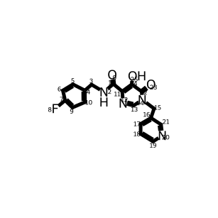 O=C(NCc1ccc(F)cc1)c1ncn(Cc2cccnc2)c(=O)c1O